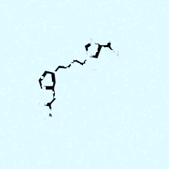 COC(=O)Cc1cccc(CCCC(O)n2cnc(C(N)=O)c2)c1